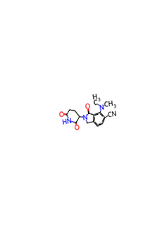 CN(C)c1c(C#N)ccc2c1C(=O)N(C1CCC(=O)NC1=O)C2